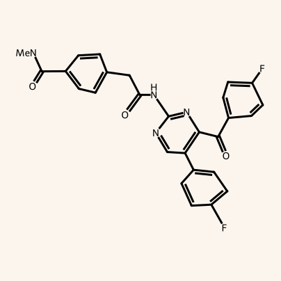 CNC(=O)c1ccc(CC(=O)Nc2ncc(-c3ccc(F)cc3)c(C(=O)c3ccc(F)cc3)n2)cc1